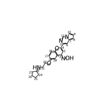 ON=c1cc(-c2cc3cccn3cn2)oc2ccc(OCCNC3CCCC3)cc12